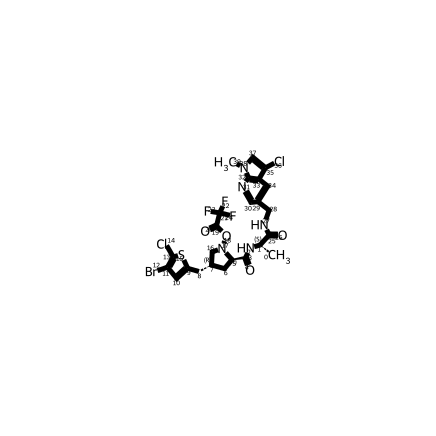 C[C@H](NC(=O)[C@H]1C[C@H](Cc2cc(Br)c(Cl)s2)CN1OC(=O)C(F)(F)F)C(=O)NCc1cnc2c(c1)c(Cl)cn2C